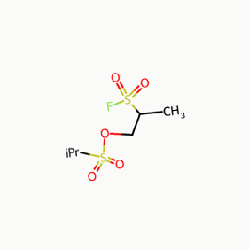 CC(COS(=O)(=O)C(C)C)S(=O)(=O)F